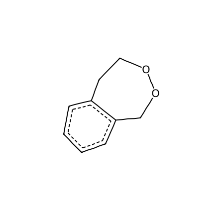 c1ccc2c(c1)CCOOC2